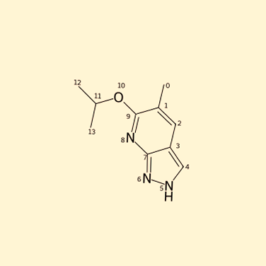 Cc1cc2c[nH]nc2nc1OC(C)C